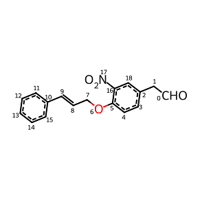 O=CCc1ccc(OC/C=C/c2ccccc2)c([N+](=O)[O-])c1